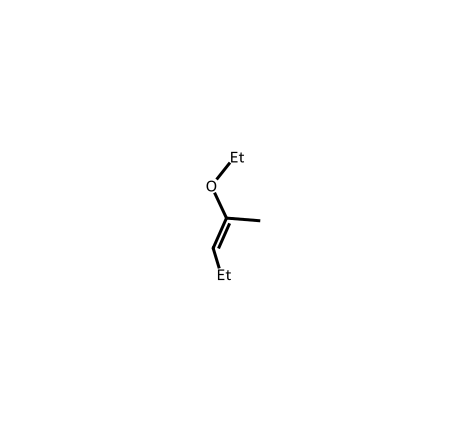 CC/C=C(\C)OCC